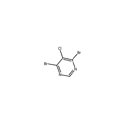 Clc1c(Br)ncnc1Br